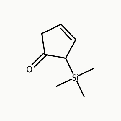 C[Si](C)(C)C1C=CCC1=O